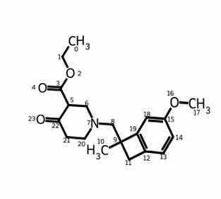 CCOC(=O)C1CN(CC2(C)Cc3ccc(OC)cc32)CCC1=O